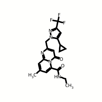 CCNC(=O)c1cc(C)cc2nc(Cn3nc(C(F)(F)F)cc3C3CC3)cc(=O)n12